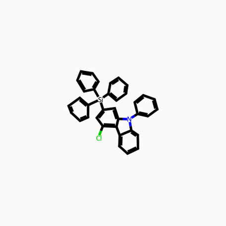 Clc1cc([Si](c2ccccc2)(c2ccccc2)c2ccccc2)cc2c1c1ccccc1n2-c1ccccc1